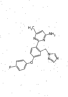 Cc1cc(N)nc(-c2ccc(Oc3ccc(F)cc3)cc2Cn2cncn2)n1